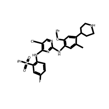 Cc1cc(Nc2ncc(Cl)c(Nc3ccc(F)cc3S(=O)(=O)C(C)C)n2)c(OC(C)C)cc1C1CCNCC1